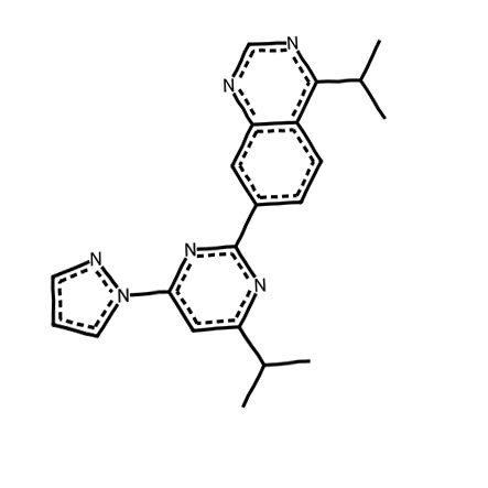 CC(C)c1cc(-n2cccn2)nc(-c2ccc3c(C(C)C)ncnc3c2)n1